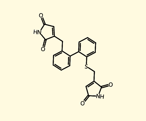 O=C1C=C(CSc2ccccc2-c2ccccc2CC2=CC(=O)NC2=O)C(=O)N1